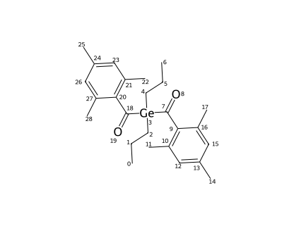 CC[CH2][Ge]([CH2]CC)([C](=O)c1c(C)cc(C)cc1C)[C](=O)c1c(C)cc(C)cc1C